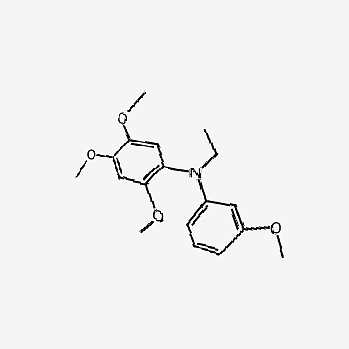 CCN(c1cccc(OC)c1)c1cc(OC)c(OC)cc1OC